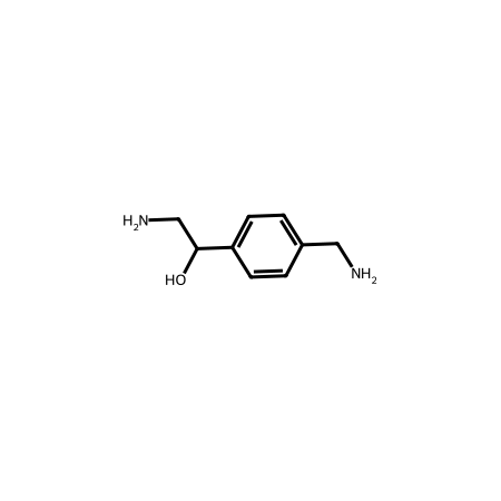 NCc1ccc(C(O)CN)cc1